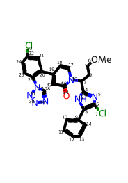 COCCC(c1nc(Cl)c(-c2cc[c]cc2)[nH]1)n1ccc(-c2cc(Cl)ccc2-n2cnnn2)cc1=O